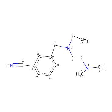 CCN(CCN(C)C)Cc1cccc(C#N)c1